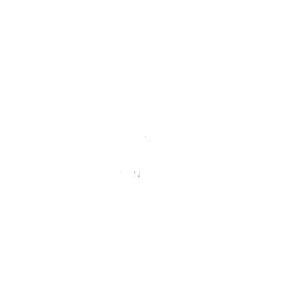 CC(C)CSc1cccc[n+]1[O-]